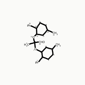 CC1CCC(C(C)C)C(OC(C)(C=O)OC2CC(C)CCC2C(C)C)C1